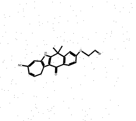 CC1(C)c2cc(OCCBr)ccc2C(=O)c2c1[nH]c1c2CC=CC(C#N)=C1